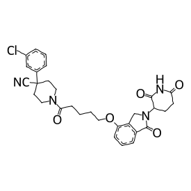 N#CC1(c2cccc(Cl)c2)CCN(C(=O)CCCCOc2cccc3c2CN(C2CCC(=O)NC2=O)C3=O)CC1